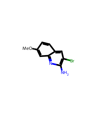 [CH2]Oc1ccc2cc(Br)c(N)nc2c1